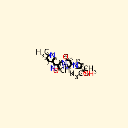 Cc1ccc(-c2noc(C)c2Cn2ncc(N3CC[C@H](C(C)(C)O)C3)cc2=O)cn1